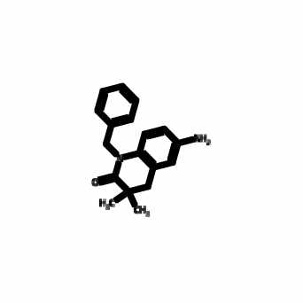 CC1(C)Cc2cc(N)ccc2N(Cc2ccccc2)C1=O